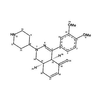 COc1ccc(C2=NN(C3CCNCC3)C[C@@H]3CC=CC(=O)[C@H]23)cc1OC